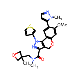 COc1cc2c(cc1-c1ccnn1C)-c1c(c(C(=O)N(C)CC3(C)COC3)nn1-c1ccsc1)CO2